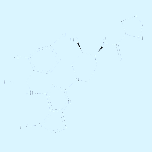 C[C@@H](Nc1nc(N2CC[C@H](NC(=O)C3CCCN3)[C@H](O)C2)nc2ccn(C)c12)c1ccc(Cl)cc1Cl